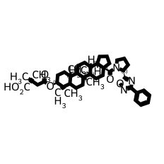 CC(C)(CC(=O)O[C@H]1CC[C@@]2(C)C(CC[C@]3(C)C2CC[C@@H]2[C@H]4CCC[C@]4(C(=O)N4CCC[C@@H]4c4nc(-c5ccccc5)no4)CC[C@]23C)C1(C)C)C(=O)O